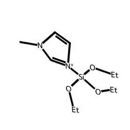 CCO[Si](OCC)(OCC)[n+]1ccn(C)c1